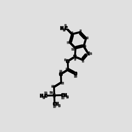 Cc1ccc2ncn(OC(=O)OCCS(C)(C)C)c2c1